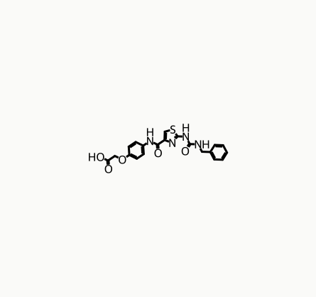 O=C(O)COc1ccc(NC(=O)c2csc(NC(=O)NCc3ccccc3)n2)cc1